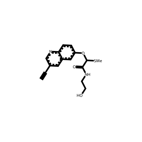 C#Cc1cnc2ccc(OC(SC)C(=O)NCCO)cc2c1